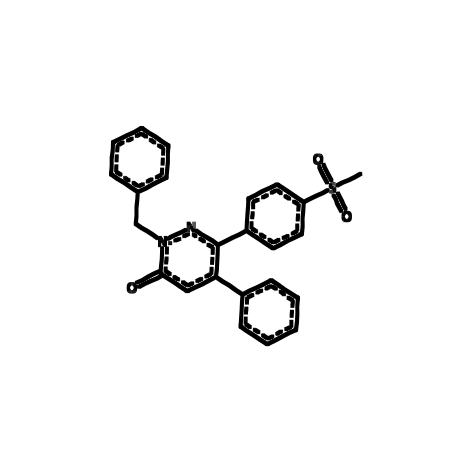 CS(=O)(=O)c1ccc(-c2nn(Cc3ccccc3)c(=O)cc2-c2ccccc2)cc1